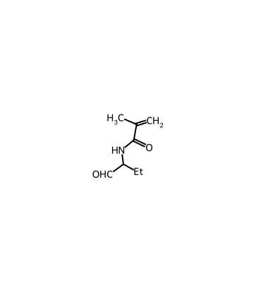 C=C(C)C(=O)NC(C=O)CC